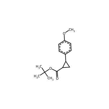 COc1ccc(C2CC2C(=O)OC(C)(C)C)cc1